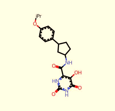 CC(C)Oc1ccc(C2CCC(NC(=O)c3[nH]c(=O)[nH]c(=O)c3O)C2)cc1